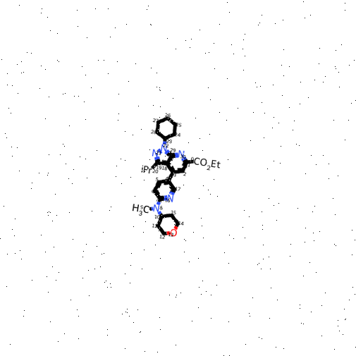 CCOC(=O)c1cc(-c2ccc(N(C)C3CCOCC3)nc2)c2c(C(C)C)nn(C3CCCCC3)c2n1